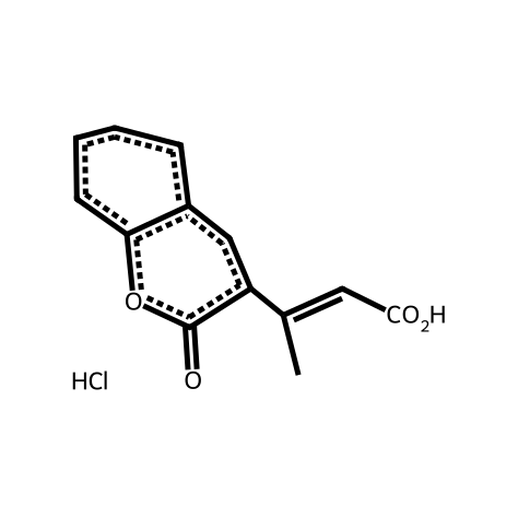 CC(=CC(=O)O)c1cc2ccccc2oc1=O.Cl